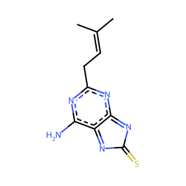 CC(C)=CCc1nc(N)c2c(n1)=NC(=S)N=2